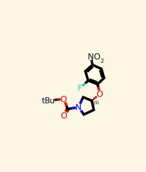 CC(C)(C)OC(=O)N1CC[C@H](Oc2ccc([N+](=O)[O-])cc2F)C1